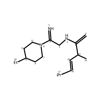 C=C(NCC(=N)N1CCC(CC)CC1)C(C)/C=C/C(C)C